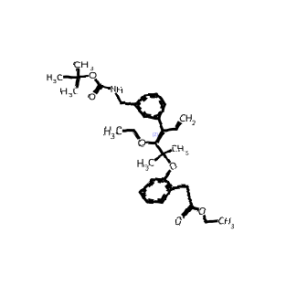 C=C/C(=C(/OCC)C(C)(C)Oc1ccccc1CC(=O)OCC)c1cccc(CNC(=O)OC(C)(C)C)c1